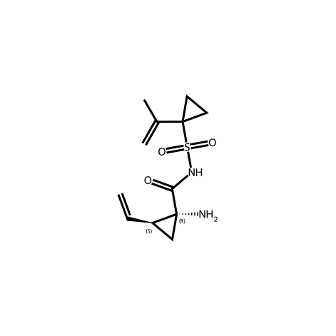 C=C[C@@H]1C[C@]1(N)C(=O)NS(=O)(=O)C1(C(=C)C)CC1